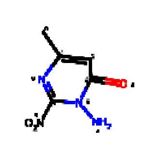 Cc1cc(=O)n(N)c([N+](=O)[O-])n1